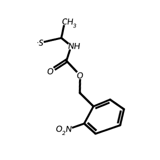 CC([S])NC(=O)OCc1ccccc1[N+](=O)[O-]